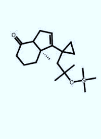 CC(C)(CC1(C2=CCC3C(=O)CCC[C@]23C)CC1)O[Si](C)(C)C